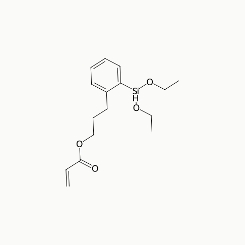 C=CC(=O)OCCCc1ccccc1[SiH](OCC)OCC